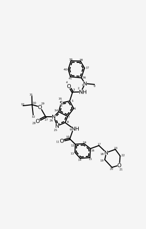 CN(NC(=O)c1cc2c(NC(=O)c3cccc(CN4CCOCC4)c3)nn(C(=O)OC(C)(C)C)c2s1)c1ccccc1